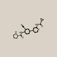 N#Cc1cc(-c2ccnc(NC(=O)C3CC3)c2)ccc1NC(=O)[C@H]1CCCN1